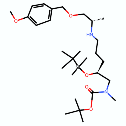 COc1ccc(COC[C@H](C)NCCC[C@@H](CN(C)C(=O)OC(C)(C)C)O[Si](C)(C)C(C)(C)C)cc1